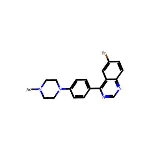 CC(=O)N1CCN(c2ccc(-c3ncnc4ccc(Br)cc34)cc2)CC1